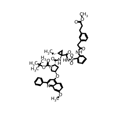 C=C[C@@H]1C[C@]1(NC(=O)[C@@H]1C[C@@H](Oc2cc(-c3ccccc3)nc3cc(OC)ccc23)CN1C(=O)OC(C)(C)C)C(=O)NS(=O)(=O)c1ccccc1NC(=O)Cc1cccc(CCC(=O)OC)c1